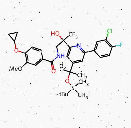 COc1cc(C(=O)NCC(O)(c2cc(C(C)(C)O[Si](C)(C)C(C)(C)C)cc(-c3ccc(F)c(Cl)c3)n2)C(F)(F)F)ccc1OC1CC1